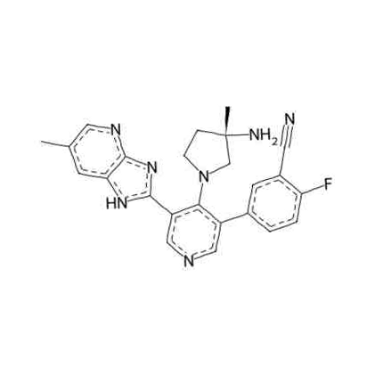 Cc1cnc2nc(-c3cncc(-c4ccc(F)c(C#N)c4)c3N3CC[C@](C)(N)C3)[nH]c2c1